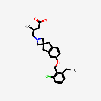 CCc1cccc(Cl)c1COc1ccc2c(c1)CC1(C2)CN(CC(C)CC(=O)O)C1